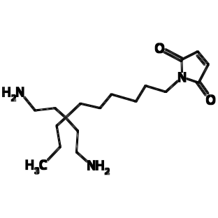 CCCC(CCN)(CCN)CCCCCCN1C(=O)C=CC1=O